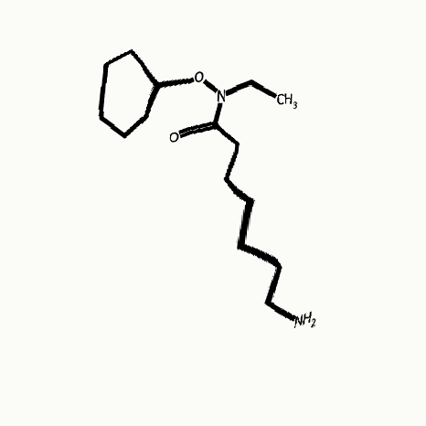 CCN(OC1CCCCC1)C(=O)CCCCCCN